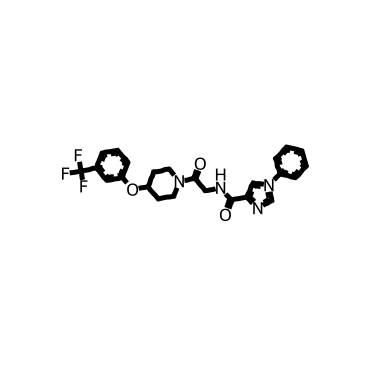 O=C(NCC(=O)N1CCC(Oc2cccc(C(F)(F)F)c2)CC1)c1cn(-c2ccccc2)cn1